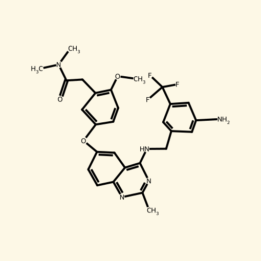 COc1ccc(Oc2ccc3nc(C)nc(NCc4cc(N)cc(C(F)(F)F)c4)c3c2)cc1CC(=O)N(C)C